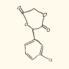 O=C1COC(=O)C(c2cccc(Cl)c2)O1